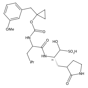 COc1cccc(CC2(OC(=O)NC(CC(C)C)C(=O)N[C@@H](CC3CCNC3=O)C(O)S(=O)(=O)O)CC2)c1